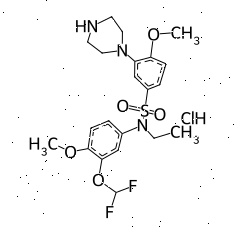 CCN(c1ccc(OC)c(OC(F)F)c1)S(=O)(=O)c1ccc(OC)c(N2CCNCC2)c1.Cl